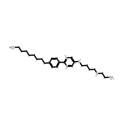 CCCCCCCCCc1ccc(-c2ncc(OCCCCOCCC)cn2)cc1